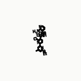 CCOc1cc(C)cc(-c2ccc(C(=O)NS(=O)(=O)c3cccnc3N)c(Cl)n2)n1